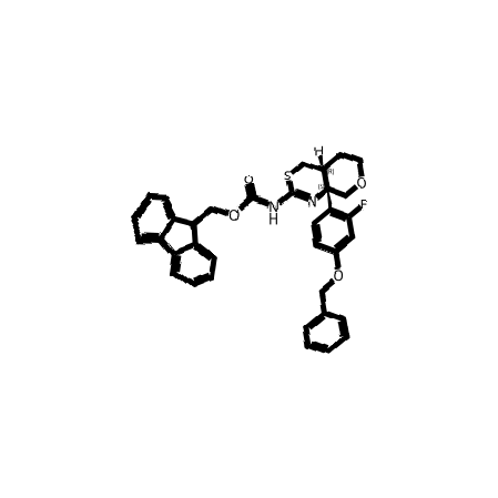 O=C(NC1=N[C@@]2(c3ccc(OCc4ccccc4)cc3F)COCC[C@H]2CS1)OCC1c2ccccc2-c2ccccc21